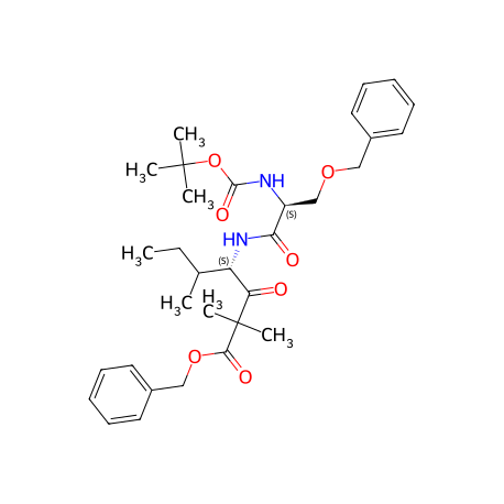 CCC(C)[C@H](NC(=O)[C@H](COCc1ccccc1)NC(=O)OC(C)(C)C)C(=O)C(C)(C)C(=O)OCc1ccccc1